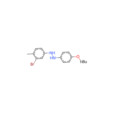 CCCCOc1ccc(NNc2ccc(C)c(Br)c2)cc1